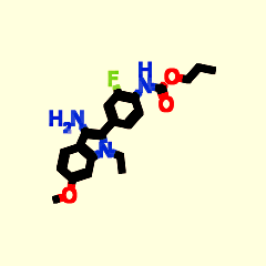 CCCOC(=O)Nc1ccc(-c2c(N)c3ccc(OC)cc3n2CC)cc1F